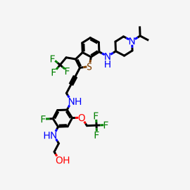 CC(C)N1CCC(Nc2cccc3c(CC(F)(F)F)c(C#CCNc4cc(F)c(NCCO)cc4OCC(F)(F)F)sc23)CC1